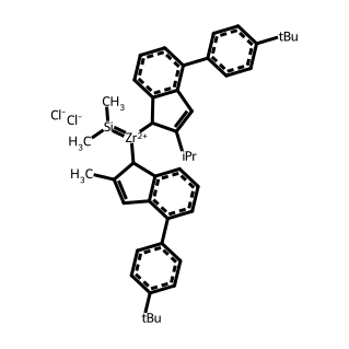 CC1=Cc2c(-c3ccc(C(C)(C)C)cc3)cccc2[CH]1[Zr+2]([CH]1C(C(C)C)=Cc2c(-c3ccc(C(C)(C)C)cc3)cccc21)=[Si](C)C.[Cl-].[Cl-]